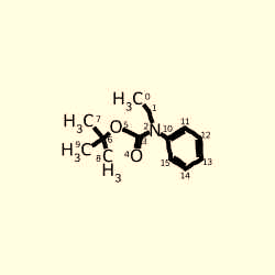 CCN(C(=O)OC(C)(C)C)c1ccccc1